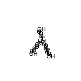 OOOO/C=C(/COOOOOOO)OOOOOOOO